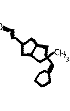 CC1(C=C2CCCC2)CC2CC(CC=O)CC2C1